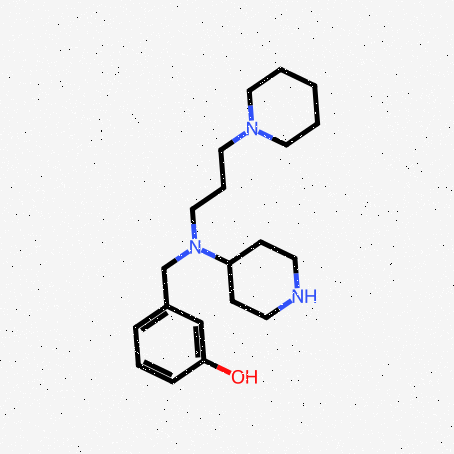 Oc1cccc(CN(CCCN2CCCCC2)C2CCNCC2)c1